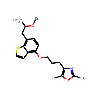 CCOC(Cc1ccc(OCCCc2nc(C(C)(C)C)oc2CC)c2ccsc12)C(=O)O